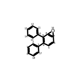 c1ccc(-c2ccc3c(c2-c2ccccc2)O3)cc1